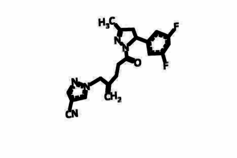 C=C(CCC(=O)N1N=C(C)CC1c1cc(F)cc(F)c1)Cn1cc(C#N)cn1